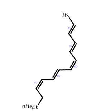 CCCCCCCC\C=C/C=C/C=C\C=C\C=C\S